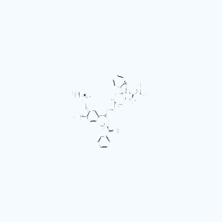 CCNC(=O)NC1(c2ccccc2)CCN(CCC(CN(C)C(=O)c2ccccc2)c2ccc(Cl)c(Cl)c2)CC1.Cl.O